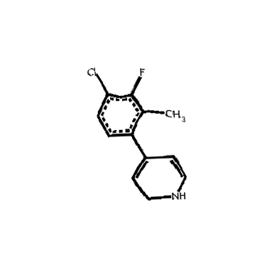 Cc1c(C2=CCNC=C2)ccc(Cl)c1F